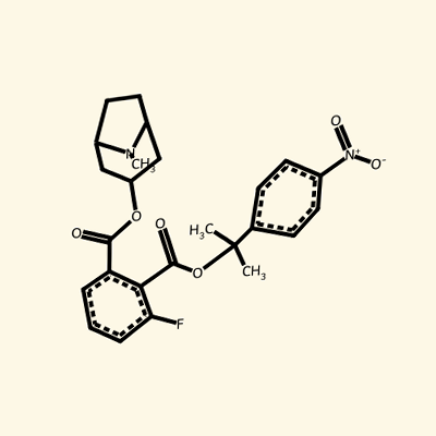 CN1C2CCC1CC(OC(=O)c1cccc(F)c1C(=O)OC(C)(C)c1ccc([N+](=O)[O-])cc1)C2